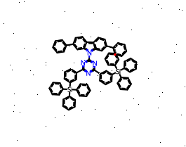 c1ccc(-c2ccc3c4ccc(-c5ccccc5)cc4n(-c4nc(-c5cccc([Si](c6ccccc6)(c6ccccc6)c6ccccc6)c5)nc(-c5cccc([Si](c6ccccc6)(c6ccccc6)c6ccccc6)c5)n4)c3c2)cc1